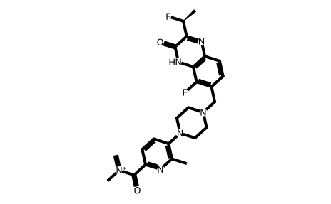 C=[N+](C)C(=O)c1ccc(N2CCN(Cc3ccc4nc([C@H](C)F)c(=O)[nH]c4c3F)CC2)c(C)n1